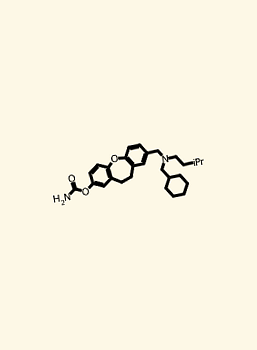 CC(C)CCN(Cc1ccc2c(c1)CCc1cc(OC(N)=O)ccc1O2)CC1CCCCC1